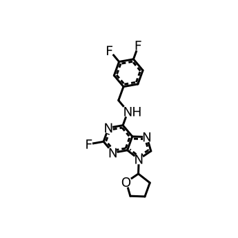 Fc1nc(NCc2ccc(F)c(F)c2)c2ncn(C3CCCO3)c2n1